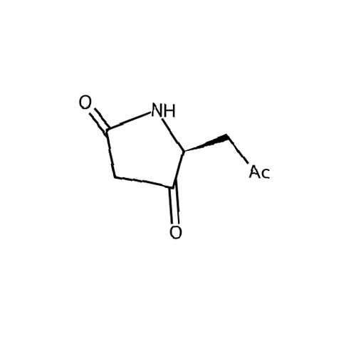 CC(=O)C[C@@H]1NC(=O)CC1=O